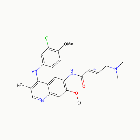 CCOc1cc2ncc(C#N)c(Nc3ccc(OC)c(Cl)c3)c2cc1NC(=O)/C=C/CN(C)C